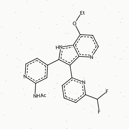 CCOc1ccnc2c(-c3cccc(C(F)F)n3)c(-c3ccnc(NC(C)=O)c3)[nH]c12